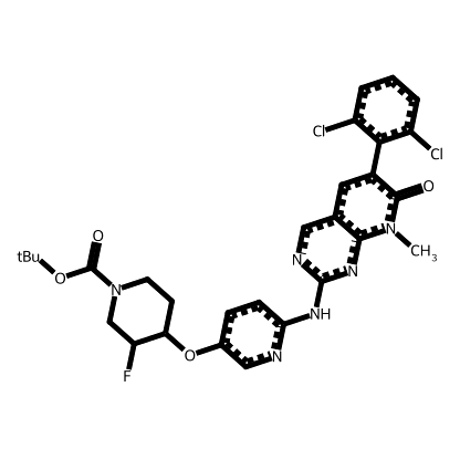 Cn1c(=O)c(-c2c(Cl)cccc2Cl)cc2cnc(Nc3ccc(OC4CCN(C(=O)OC(C)(C)C)CC4F)cn3)nc21